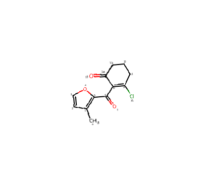 Cc1ccoc1C(=O)C1=C(Cl)CCCC1=O